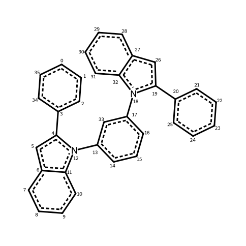 c1ccc(-c2cc3ccccc3n2-c2cccc(-n3c(-c4ccccc4)cc4ccccc43)c2)cc1